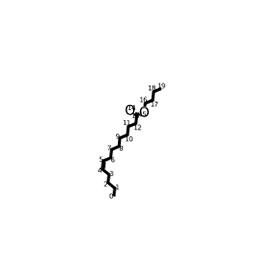 CCCC/C=C\CCCCCCCC(=O)OCCCC